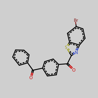 O=C(c1ccccc1)c1ccc(C(=O)c2nc3ccc(Br)cc3s2)cc1